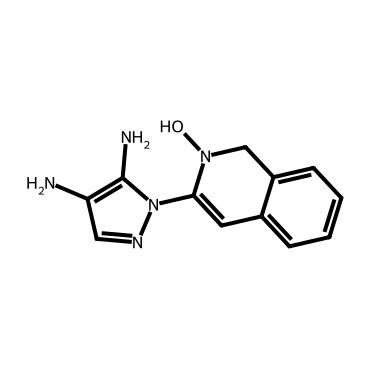 Nc1cnn(C2=Cc3ccccc3CN2O)c1N